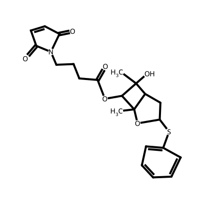 CC1(O)C2CC(Sc3ccccc3)OC2(C)C1OC(=O)CCCN1C(=O)C=CC1=O